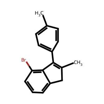 CC1=C(c2ccc(C)cc2)c2c(Br)cccc2C1